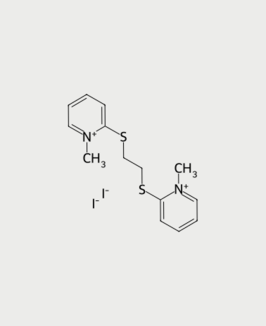 C[n+]1ccccc1SCCSc1cccc[n+]1C.[I-].[I-]